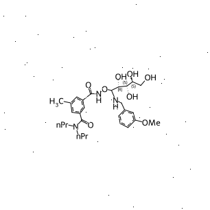 CCCN(CCC)C(=O)c1cc(C)cc(C(=O)NOC(NCc2cccc(OC)c2)[C@H](O)[C@@H](O)[C@@H](O)CO)c1